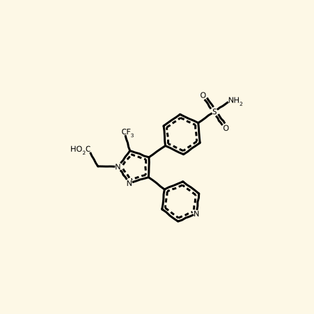 NS(=O)(=O)c1ccc(-c2c(-c3ccncc3)nn(CC(=O)O)c2C(F)(F)F)cc1